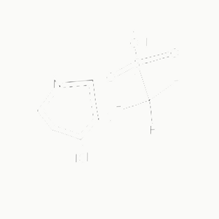 Cl.O=S(=O)(O)C(F)(F)F.c1ccncc1